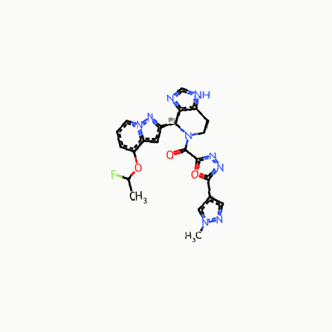 CC(F)Oc1cccn2nc([C@H]3c4nc[nH]c4CCN3C(=O)c3nnc(-c4cnn(C)c4)o3)cc12